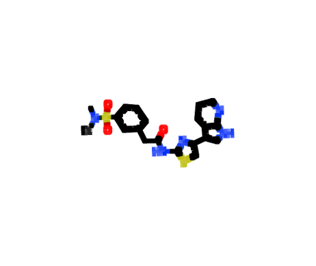 CCN(C)S(=O)(=O)c1cccc(CC(=O)Nc2nc(-c3c[nH]c4ncccc34)cs2)c1